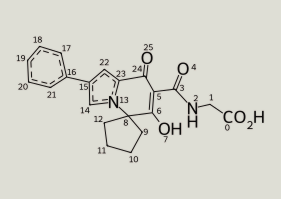 O=C(O)CNC(=O)C1=C(O)C2(CCCC2)n2cc(-c3ccccc3)cc2C1=O